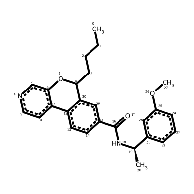 CCCCC1Oc2cnccc2-c2ccc(C(=O)N[C@H](C)c3cccc(OC)c3)cc21